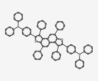 c1ccc(-c2cc3c(cc(-c4ccccc4)c4oc(-c5ccc(N(c6ccccc6)c6ccccc6)cc5)c(-c5ccccc5)c43)c3c(-c4ccccc4)c(-c4ccc(N(c5ccccc5)c5ccccc5)cc4)oc23)cc1